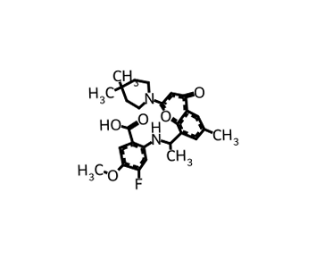 COc1cc(C(=O)O)c(NC(C)c2cc(C)cc3c(=O)cc(N4CCC(C)(C)CC4)oc23)cc1F